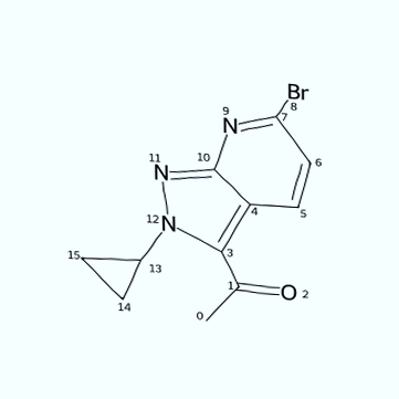 CC(=O)c1c2ccc(Br)nc2nn1C1CC1